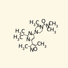 Cc1noc(C)c1-c1cc(N2CCN(C(=O)N(C)C)[C@@H](C)C2)nc(C(C)C)n1